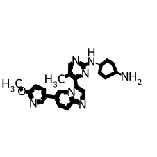 COc1ccc(-c2ccc3ncc(-c4nc(N[C@H]5CC[C@H](N)CC5)ncc4C)n3c2)cn1